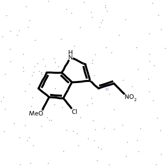 COc1ccc2[nH]cc(/C=C/[N+](=O)[O-])c2c1Cl